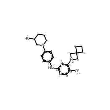 OC1CCCN(c2ccc(Nc3ncc(C(F)(F)F)c(N4CC5(CCC5)C4)n3)cc2)C1